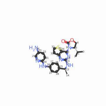 CC(C)[C@H]1COC(=O)N1c1nc(N[C@@H](C)c2ccc(Nc3ccc(N)cn3)cc2)nc2ccsc12